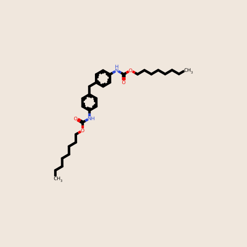 CCCCCCCCOC(=O)Nc1ccc(Cc2ccc(NC(=O)OCCCCCCCC)cc2)cc1